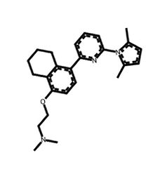 Cc1ccc(C)n1-c1cccc(-c2ccc(OCCN(C)C)c3c2CCCC3)n1